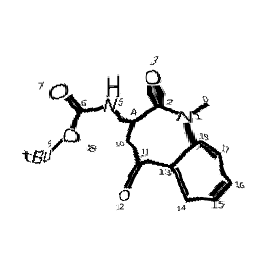 CN1C(=O)C(NC(=O)OC(C)(C)C)CC(=O)c2ccccc21